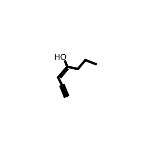 C#C/C=C(/O)CCC